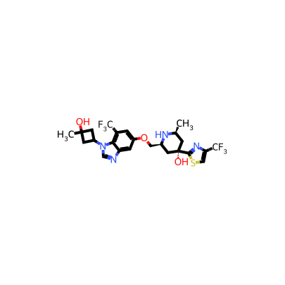 C[C@H]1C[C@@](O)(c2nc(C(F)(F)F)cs2)C[C@@H](COc2cc(C(F)(F)F)c3c(c2)ncn3C2CC(C)(O)C2)N1